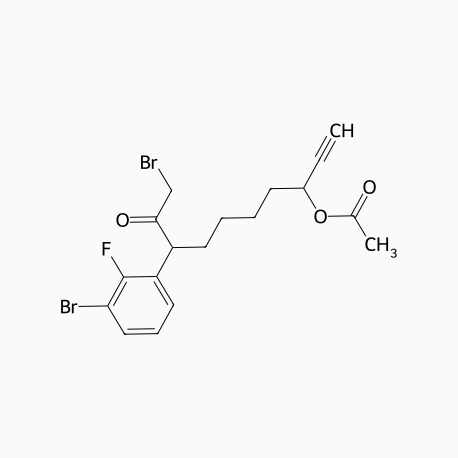 C#CC(CCCCC(C(=O)CBr)c1cccc(Br)c1F)OC(C)=O